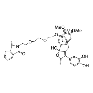 C=C1OC(O)(c2ccc(OC)cc2)C(Cc2cc(OC)c(OC)c(OCCOCCOCCN3C(=C)c4ccccc4C3=O)c2)=C1c1ccc(O)c(O)c1